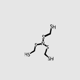 SCSN(SCS)SCS